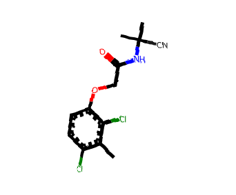 Cc1c(Cl)ccc(OCC(=O)NC(C)(C)C#N)c1Cl